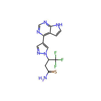 NC(=S)CC(n1cc(-c2ncnc3[nH]ccc23)cn1)C(F)(F)F